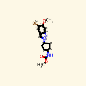 COC(=O)NC1CCC(n2cc3cc(Br)c(OC)cc3n2)CC1